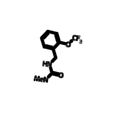 CNC(=O)NCc1ccccc1OC(F)(F)F